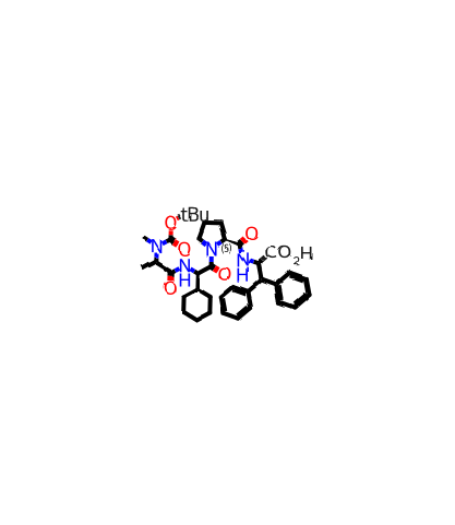 CC(C(=O)NC(C(=O)N1CCC[C@H]1C(=O)NC(C(=O)O)C(c1ccccc1)c1ccccc1)C1CCCCC1)N(C)C(=O)OC(C)(C)C